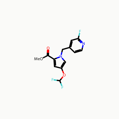 COC(=O)c1cc(OC(F)F)cn1Cc1ccnc(F)c1